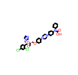 O=C(O)N(c1ccccc1)c1ccc(N2CCN(c3ccc(OC[C@@H]4CO[C@@](Cn5ccnc5)(c5ccc(Cl)cc5Cl)O4)cc3)CC2)cc1